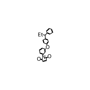 CCC(c1ccccc1)c1ccc(Oc2cccc(N3C(=O)C=CC3=O)c2)cc1